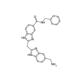 NCc1ccc2[nH]c(Cc3nc4cc(C(=O)NCc5ccccc5)ccc4[nH]3)nc2c1